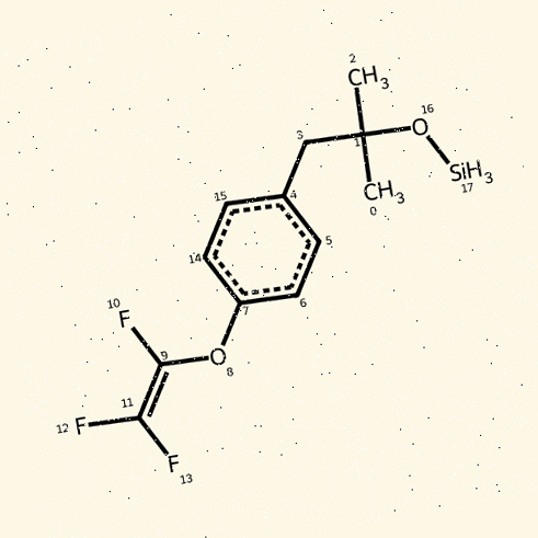 CC(C)(Cc1ccc(OC(F)=C(F)F)cc1)O[SiH3]